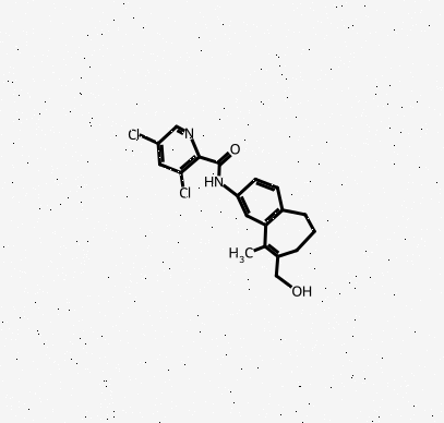 CC1=C(CO)CCCc2ccc(NC(=O)c3ncc(Cl)cc3Cl)cc21